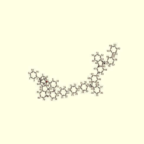 c1ccc(-c2ccc(-c3ccccc3C3(c4cccc(-c5ccc(-c6ccc(-c7ccc(-n8c9ccccc9c9cc(-c%10ccc%11c(c%10)c%10ccccc%10n%11-c%10cccc(-c%11ccccc%11)c%10)ccc98)cc7)cc6)cc5)c4)c4ccccc4-c4ccccc43)cc2)cc1